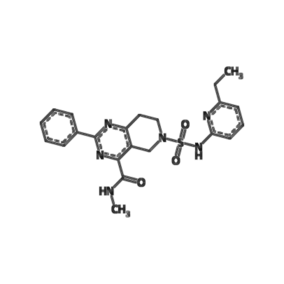 CCc1cccc(NS(=O)(=O)N2CCc3nc(-c4ccccc4)nc(C(=O)NC)c3C2)n1